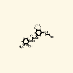 COc1cc(NCCO)cc(NC(=O)Nc2cccc(C)c2O)c1